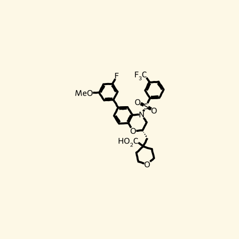 COc1cc(F)cc(-c2ccc3c(c2)N(S(=O)(=O)c2cccc(C(F)(F)F)c2)C[C@H](CC2(C(=O)O)CCOCC2)O3)c1